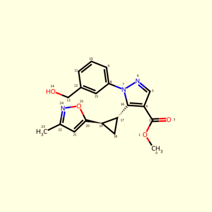 COC(=O)c1cnn(-c2cccc(CO)c2)c1[C@@H]1C[C@H]1c1cc(C)no1